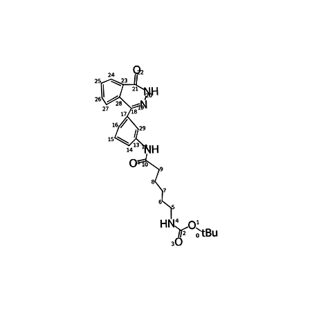 CC(C)(C)OC(=O)NCCCCCC(=O)Nc1cccc(-c2n[nH]c(=O)c3ccccc23)c1